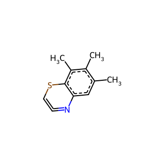 Cc1cc2c(c(C)c1C)SC=C=N2